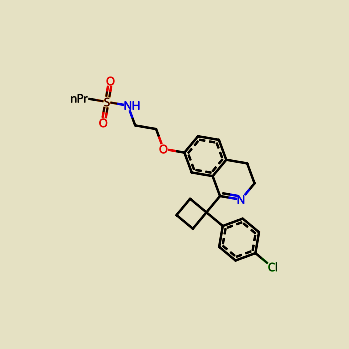 CCCS(=O)(=O)NCCOc1ccc2c(c1)C(C1(c3ccc(Cl)cc3)CCC1)=NCC2